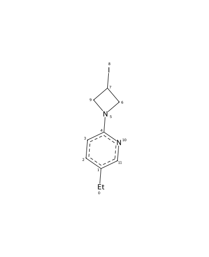 CCc1ccc(N2CC(I)C2)nc1